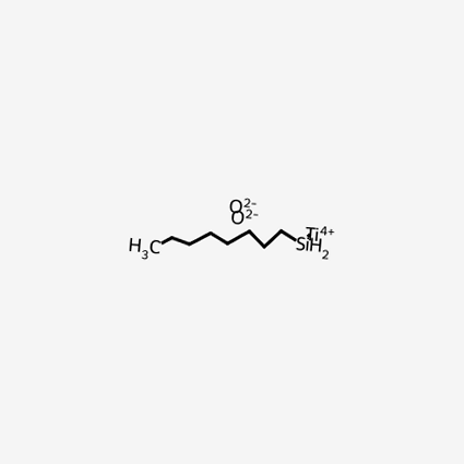 CCCCCCCC[SiH2][Ti+4].[O-2].[O-2]